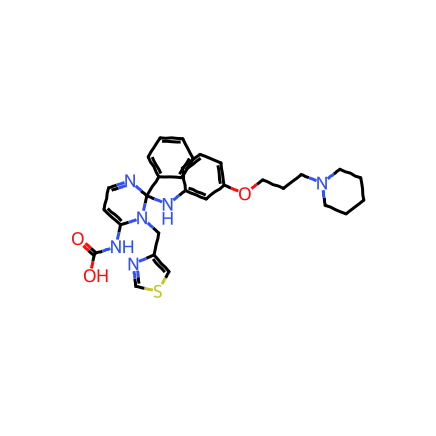 O=C(O)NC1=CC=NC(Nc2cccc(OCCCN3CCCCC3)c2)(c2ccccc2)N1Cc1cscn1